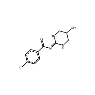 O=C(N=C1NCC(O)CN1)c1ccc(Cl)cc1